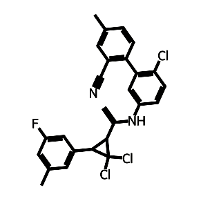 C=C(Nc1ccc(Cl)c(-c2ccc(C)cc2C#N)c1)C1C(c2cc(C)cc(F)c2)C1(Cl)Cl